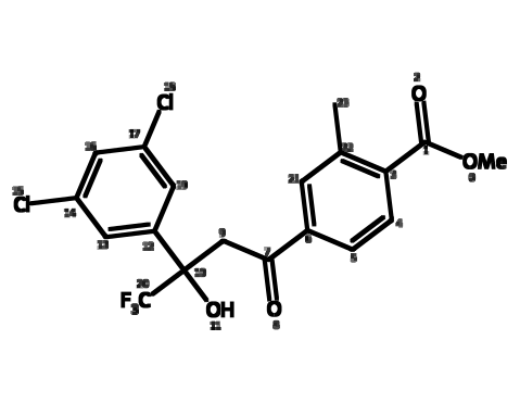 COC(=O)c1ccc(C(=O)CC(O)(c2cc(Cl)cc(Cl)c2)C(F)(F)F)cc1C